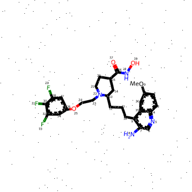 COc1ccc2ncc(N)c(CCCC3CC(C(=O)NO)CCN3CCOc3cc(F)c(F)c(F)c3)c2c1